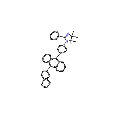 CC1(C)N=C(c2ccccc2)N(c2ccc(-c3c4ccccc4c(-c4ccc5ccccc5c4)c4ccccc34)cc2)C1(C)C